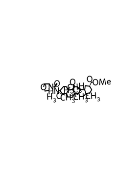 COC(=O)[C@H]1CC[C@]2(C)CC[C@]3(C)C(=CC(=O)C4[C@@]5(C)CCC(NC(=O)N6CCOCC6)C(C)(C)C5CC[C@]43C)[C@@H]2C1